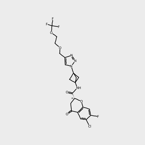 O=C1C[C@H](C(=O)NC23CC(n4cc(COCCOC(F)(F)F)nn4)(C2)C3)Oc2cc(F)c(Cl)cc21